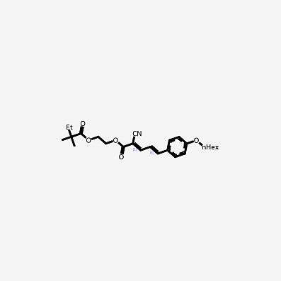 CCCCCCOc1ccc(/C=C/C=C(\C#N)C(=O)OCCOC(=O)C(C)(C)CC)cc1